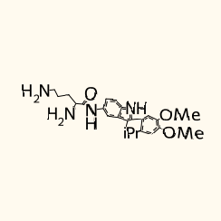 COc1ccc(-c2[nH]c3ccc(NC(=O)C(N)CCCN)cc3c2C(C)C)cc1OC